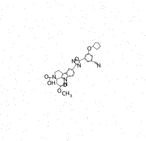 COC(=O)CC1c2[nH]c3ccc(-c4noc(-c5cc(C#N)cc(OC6CCCC6)c5)n4)cc3c2CCN1C(=O)O